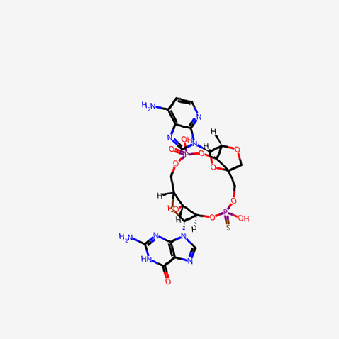 Nc1nc2c(ncn2[C@@H]2S[C@@H]3COP(=O)(O)O[C@H]4[C@H]5OCC4(COP(O)(=S)O[C@@H]2[C@@H]3O)O[C@H]5n2cnc3c(N)ccnc32)c(=O)[nH]1